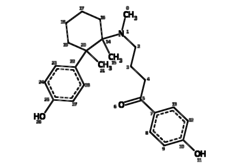 CN(CCCC(=O)c1ccc(O)cc1)C1(C)CCCCC1(C)c1ccc(O)cc1